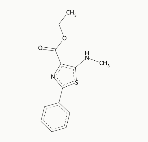 CCOC(=O)c1nc(-c2ccccc2)sc1NC